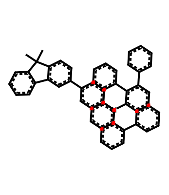 CC1(C)c2ccccc2-c2cc(-c3ccc(N(c4ccccc4-c4ccccc4)c4cccc(-c5ccccc5)c4-c4ccccc4-c4ccccc4)cc3)ccc21